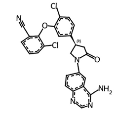 N#Cc1cccc(Cl)c1Oc1cc([C@H]2CC(=O)N(c3ccc4ncnc(N)c4c3)C2)ccc1Cl